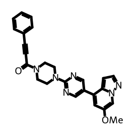 COc1cc(-c2cnc(N3CCN(C(=O)C#Cc4ccccc4)CC3)nc2)c2ccnn2c1